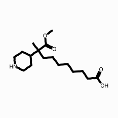 COC(=O)C(C)(CCCCCCCC(=O)O)C1CCNCC1